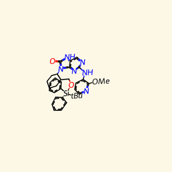 COc1ncccc1Nc1ncc2[nH]c(=O)n(C3CCCCC3CO[Si](c3ccccc3)(c3ccccc3)C(C)(C)C)c2n1